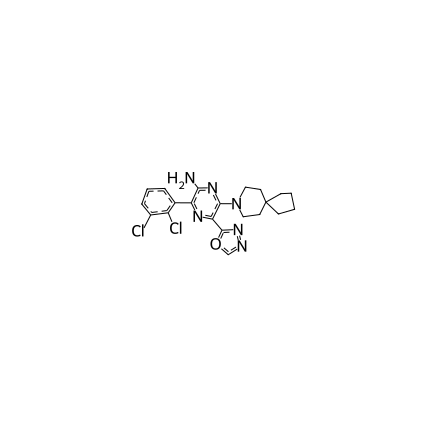 Nc1nc(N2CCC3(CCCC3)CC2)c(-c2nnco2)nc1-c1cccc(Cl)c1Cl